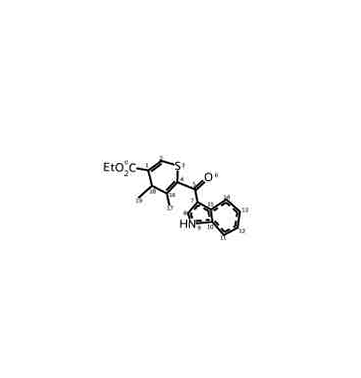 CCOC(=O)C1=CSC(C(=O)c2c[nH]c3ccccc23)=C(C)C1C